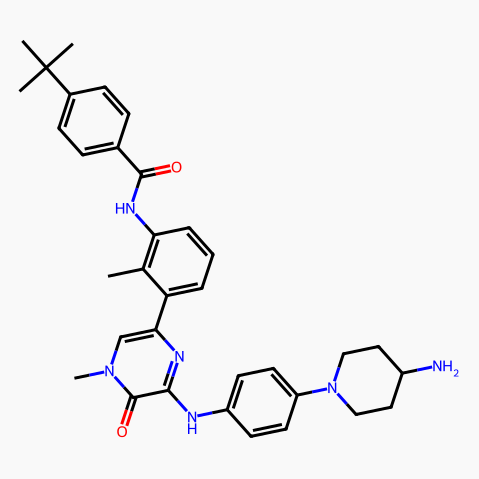 Cc1c(NC(=O)c2ccc(C(C)(C)C)cc2)cccc1-c1cn(C)c(=O)c(Nc2ccc(N3CCC(N)CC3)cc2)n1